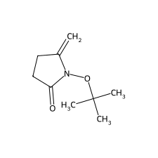 C=C1CCC(=O)N1OC(C)(C)C